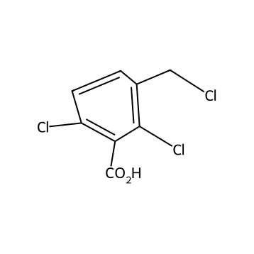 O=C(O)c1c(Cl)ccc(CCl)c1Cl